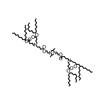 CCCCCCCC(CCCCCCC)CC(=O)CCCN(CCCC(=O)OCCN1CC(C)N(CCOC(=O)CCCN(CCCC(=O)OC(CCCCCCC)CCCCCCC)CCCC(=O)OC(CCCCCCC)CCCCCCC)CC1C)CCCC(=O)OC(CCCCCCC)CCCCCCC